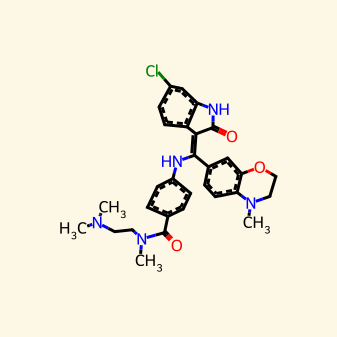 CN(C)CCN(C)C(=O)c1ccc(NC(=C2C(=O)Nc3cc(Cl)ccc32)c2ccc3c(c2)OCCN3C)cc1